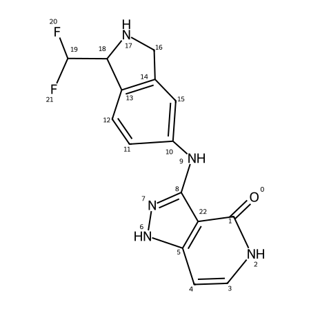 O=c1[nH]ccc2[nH]nc(Nc3ccc4c(c3)CNC4C(F)F)c12